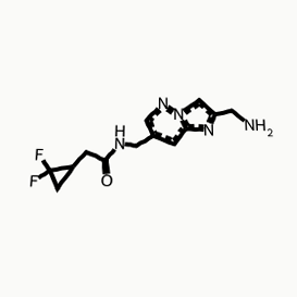 NCc1cn2ncc(CNC(=O)CC3CC3(F)F)cc2n1